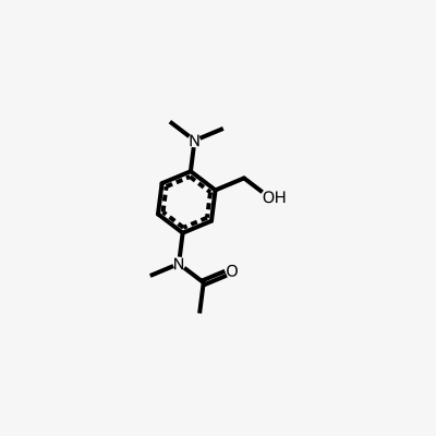 CC(=O)N(C)c1ccc(N(C)C)c(CO)c1